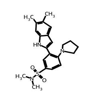 Cc1cc2cc(-c3cc(S(=O)(=O)N(C)C)ccc3N3CCCC3)[nH]c2cc1C